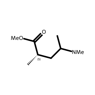 CNC(C)C[C@H](C)C(=O)OC